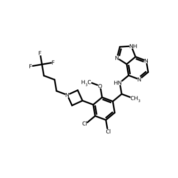 COc1c(C(C)Nc2ncnc3[nH]cnc23)cc(Cl)c(Cl)c1C1CN(CCCC(F)(F)F)C1